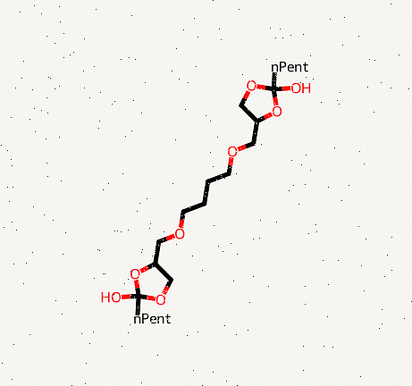 CCCCCC1(O)OCC(COCCCCOCC2COC(O)(CCCCC)O2)O1